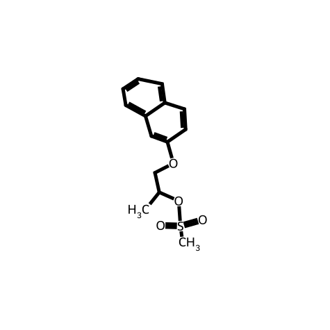 CC(COc1ccc2ccccc2c1)OS(C)(=O)=O